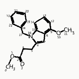 COC(=O)CCc1cc2c(OC)cccc2n1Cc1ccccc1